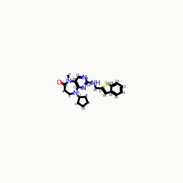 CN1C(=O)CCN(C2CCCC2)c2nc(NCc3cc4ccccc4s3)ncc21